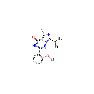 CCOc1ccccc1-c1nn2c(C(CC)CC)nc(C)c2c(=O)[nH]1